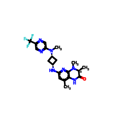 Cc1cc(N[C@H]2C[C@@H](N(C)c3cnc(C(F)(F)F)cn3)C2)nc2c1NC(=O)[C@H](C)N2C